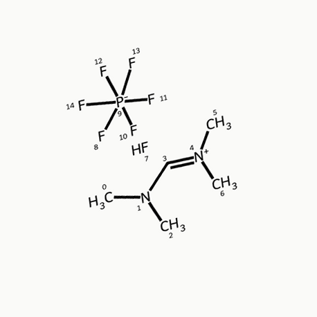 CN(C)C=[N+](C)C.F.F[P-](F)(F)(F)(F)F